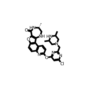 CC1CN(Cc2nc(Cl)cc(Oc3ccc4c(ccc5oc6c(c54)NC[C@@H](C)NC6=O)n3)n2)CC(C)N1